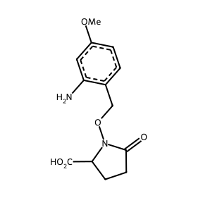 COc1ccc(CON2C(=O)CCC2C(=O)O)c(N)c1